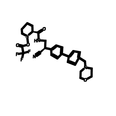 N#C[C@@H](CNC(=O)[C@@H]1CCCCN1OC(=O)C(F)(F)F)c1ccc(-c2ccc(CN3CCOCC3)cc2)cc1